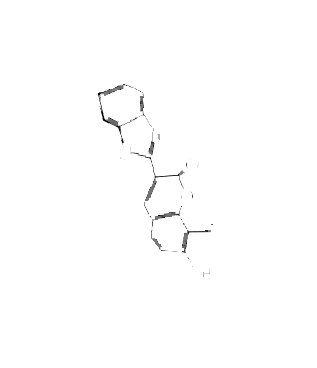 O=c1oc2c(F)c(O)ccc2cc1-c1nc2ccccc2o1